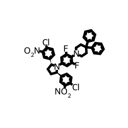 O=[N+]([O-])c1cc([C@H]2CC[C@H](c3ccc(Cl)c([N+](=O)[O-])c3)N2c2cc(F)c(N3CCC(c4ccccc4)(c4ccccc4)CC3)c(F)c2)ccc1Cl